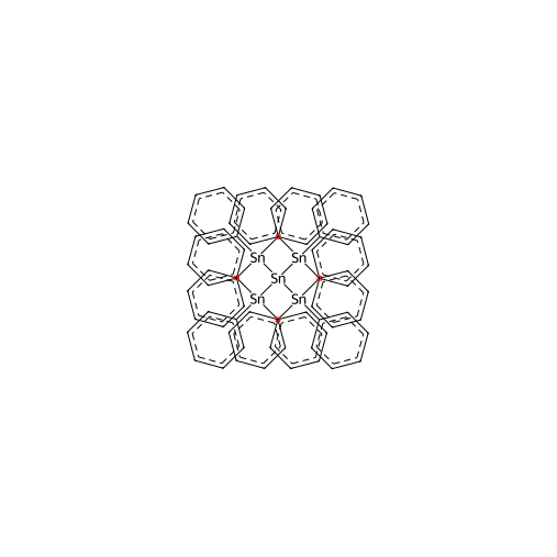 c1cc[c]([Sn]([c]2ccccc2)([c]2ccccc2)[Sn]([Sn]([c]2ccccc2)([c]2ccccc2)[c]2ccccc2)([Sn]([c]2ccccc2)([c]2ccccc2)[c]2ccccc2)[Sn]([c]2ccccc2)([c]2ccccc2)[c]2ccccc2)cc1